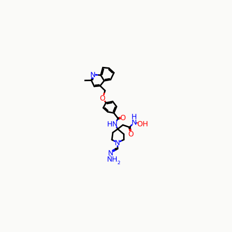 Cc1cc(COc2ccc(C(=O)NC3(CC(=O)NO)CCN(C=NN)CC3)cc2)c2ccccc2n1